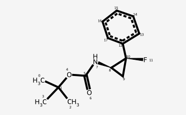 CC(C)(C)OC(=O)N[C@@H]1C[C@@]1(F)c1ccccc1